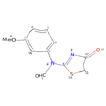 COc1cccc(N(C=O)C2=NC(=O)CS2)c1